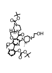 C[C@H]1CN(CCO)CCN1c1nc(-c2c(F)cccc2OC(=O)OC(C)(C)C)c(Cl)c2c1C(=O)N1CCN(C(=O)OC(C)(C)C)C[C@@H]1CO2